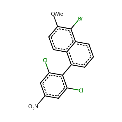 COc1ccc2c(-c3c(Cl)cc([N+](=O)[O-])cc3Cl)cccc2c1Br